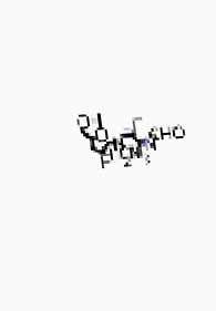 CN(/C=C(F)\C(N)=N/C=O)C1OC(CO)CC1F